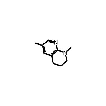 Cc1cnc2c(c1)CCCN2C